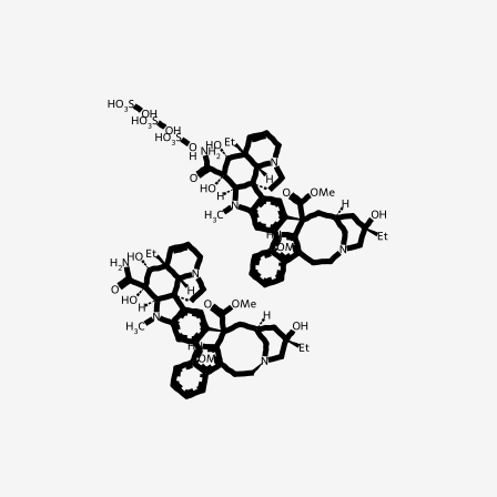 CC[C@]1(O)C[C@H]2CN(CCc3c([nH]c4ccccc34)[C@@](C(=O)OC)(c3cc4c(cc3OC)N(C)[C@H]3[C@@](O)(C(N)=O)[C@H](O)[C@]5(CC)C=CCN6CC[C@]43[C@@H]65)C2)C1.CC[C@]1(O)C[C@H]2C[N@](CCc3c([nH]c4ccccc34)[C@@](C(=O)OC)(c3cc4c(cc3OC)N(C)[C@H]3[C@@](O)(C(N)=O)[C@H](O)[C@]5(CC)C=CCN6CC[C@]43[C@@H]65)C2)C1.O=S(=O)(O)O.O=S(=O)(O)O.O=S(=O)(O)O